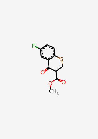 COC(=O)C1CSc2ccc(F)cc2C1=O